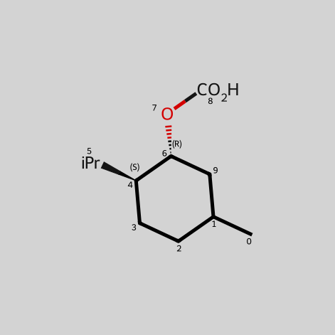 CC1CC[C@@H](C(C)C)[C@H](OC(=O)O)C1